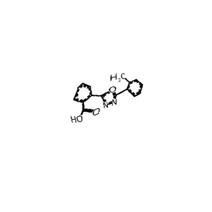 Cc1ccccc1-c1nnc(-c2ccccc2C(=O)O)o1